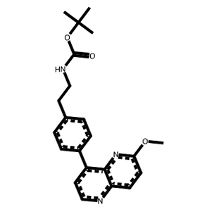 COc1ccc2nccc(-c3ccc(CCNC(=O)OC(C)(C)C)cc3)c2n1